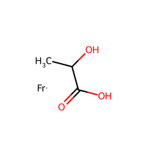 CC(O)C(=O)O.[Fr]